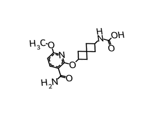 COc1ccc(C(N)=O)c(OC2CC3(CC(NC(=O)O)C3)C2)n1